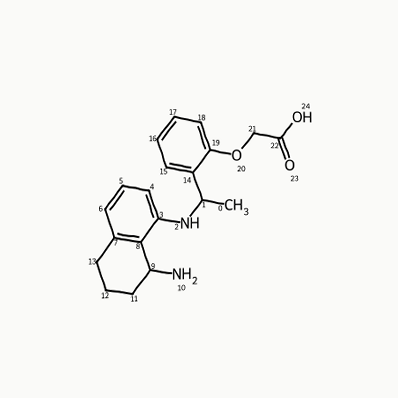 CC(Nc1cccc2c1C(N)CCC2)c1ccccc1OCC(=O)O